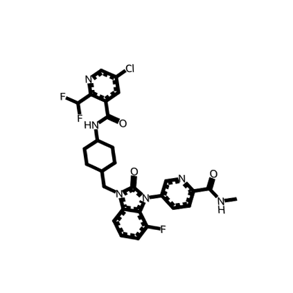 CNC(=O)c1ccc(-n2c(=O)n(CC3CCC(NC(=O)c4cc(Cl)cnc4C(F)F)CC3)c3cccc(F)c32)cn1